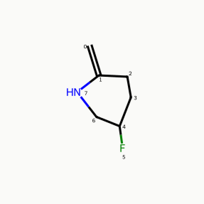 C=C1CCC(F)CN1